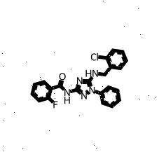 O=C(Nc1nc(NCc2ccccc2Cl)n(-c2ccccc2)n1)c1ccccc1F